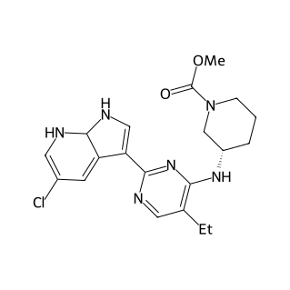 CCc1cnc(C2=CNC3NC=C(Cl)C=C23)nc1N[C@H]1CCCN(C(=O)OC)C1